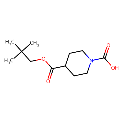 CC(C)(C)COC(=O)C1CCN(C(=O)O)CC1